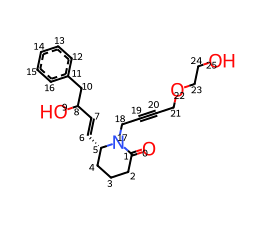 O=C1CCC[C@H](C=CC(O)Cc2ccccc2)N1CC#CCOCCO